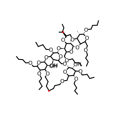 CCCCOCC1O[C@H](OCC2O[C@@H](O[C@@H]3C(COCCCC)O[C@@H](O[C@@H]4C(COCCCC)O[C@@H](OCCCC)[C@@H](C)C4OCCCC)[C@@H](C)C3OCCCC)[C@H](OCCCC)C(O[C@@H]3OC(COCCCC)[C@H](OCCCC)C(OCCCC)[C@@H]3O)[C@@H]2O)[C@H](O)C(OCCCC)[C@@H]1OCCCC